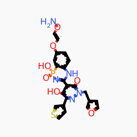 NO/C=C/Oc1ccc2c(c1)P(=O)(O)N=C(c1c(O)c(-c3ccsc3)nn(Cc3ccoc3)c1=O)N2